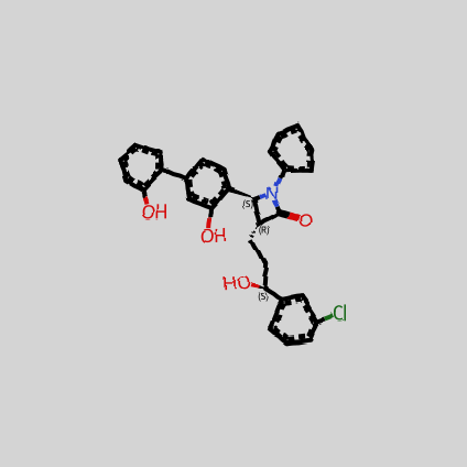 O=C1[C@H](CC[C@H](O)c2cccc(Cl)c2)[C@@H](c2ccc(-c3ccccc3O)cc2O)N1c1ccccc1